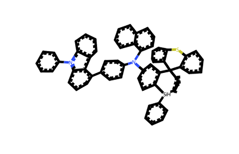 c1ccc(-n2c3ccccc3c3c(-c4ccc(N(c5ccc6c(c5)C5(c7ccccc7Sc7ccccc75)c5ccccc5[SiH]6c5ccccc5)c5cccc6ccccc56)cc4)cccc32)cc1